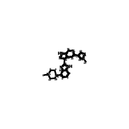 CN1CCN(c2cccc3[nH]c(-c4n[nH]c5cnc(-c6cnn(C)c6)cc45)nc23)CC1